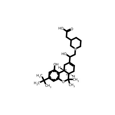 CC(C)(C)c1cc(O)c2c(c1)OC(C)(C)[C@@H]1CC=C(C(O)CN3CCCC(CC(=O)O)C3)C[C@@H]21